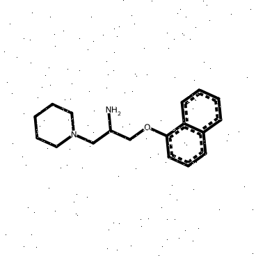 NC(COc1cccc2ccccc12)CN1CCCCC1